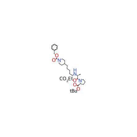 CCOC(=O)C(CCCCC1CCN(C(=O)OCc2ccccc2)CC1)N[C@@H](C)C(=O)N1CCC[C@H]1C(=O)OC(C)(C)C